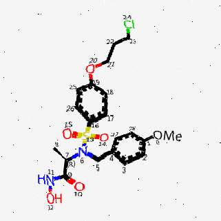 COc1ccc(CN([C@H](C)C(=O)NO)S(=O)(=O)c2ccc(OCCCCl)cc2)cc1